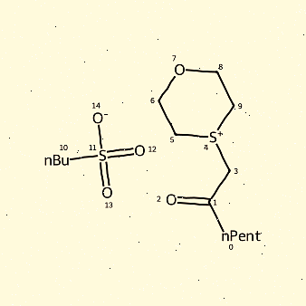 CCCCCC(=O)C[S+]1CCOCC1.CCCCS(=O)(=O)[O-]